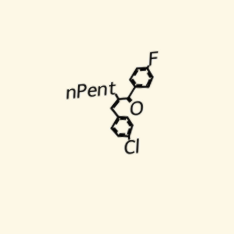 CCCCCC(=Cc1ccc(Cl)cc1)C(=O)c1ccc(F)cc1